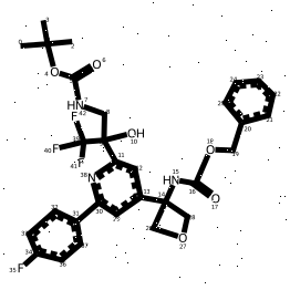 CC(C)(C)OC(=O)NCC(O)(c1cc(C2(NC(=O)OCc3ccccc3)COC2)cc(-c2ccc(F)cc2)n1)C(F)(F)F